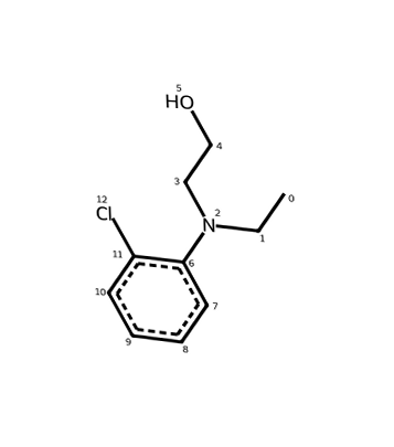 CCN(CCO)c1ccccc1Cl